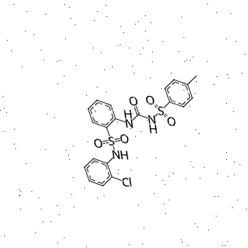 Cc1ccc(S(=O)(=O)NC(=O)Nc2ccccc2S(=O)(=O)Nc2ccccc2Cl)cc1